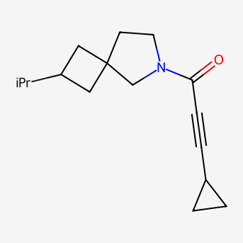 CC(C)C1CC2(CCN(C(=O)C#CC3CC3)C2)C1